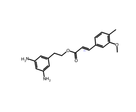 COc1cc(/C=C/C(=O)OCCc2cc(N)cc(N)c2)ccc1C